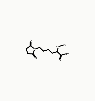 CC(C)NC(CCCCN1C(=O)CCC1=O)C(=O)C(C)C